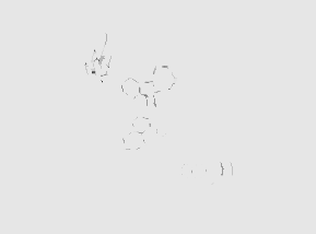 O=C(O)CCCCOc1c(Cn2c3ccccc3c3cc(-c4nn[nH]n4)ccc32)ccc2ccccc12